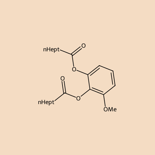 CCCCCCCC(=O)Oc1cccc(OC)c1OC(=O)CCCCCCC